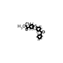 C=C(C)C(=O)c1ccc(Sc2ccc(C(=O)c3ccccc3)cc2)cc1